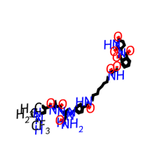 C=N/C(=C\C(=C/C)c1nc(C(=O)Nc2cn(-c3ccc(C(=O)NCCCCCCCCNC(=O)COc4cccc5c4C(=O)N(C4CCC(=O)NC4=O)C5=O)cc3)nc2C(N)=O)co1)NCC(F)(F)F